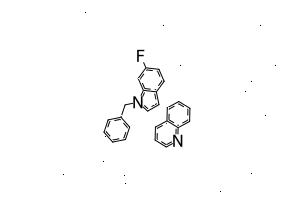 Fc1ccc2ccn(Cc3ccccc3)c2c1.c1ccc2ncccc2c1